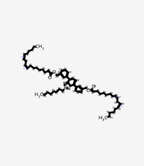 CCCCC/C=C\C/C=C\CCCCCCCC(=O)OCc1cccc(-c2ccc(-c3cccc(COC(=O)CCCCCCC/C=C\C/C=C\CCCCC)c3)c3nn(CCCCCCCC)nc23)c1